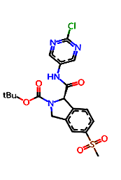 CC(C)(C)OC(=O)N1Cc2cc(S(C)(=O)=O)ccc2[C@@H]1C(=O)Nc1cnc(Cl)nc1